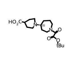 CC(C)(C)OC(=O)C(=O)N1CCC[C@H](N2CCC(C(=O)O)CC2)CC1